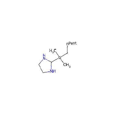 CCCCCC[Si](C)(C)C1NCCN1